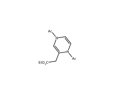 CCOC(=O)CC1=CN(C(C)=O)C=CN1C(C)=O